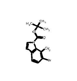 Cc1c(Br)ccc2ccn(C(=O)OC(C)(C)C)c12